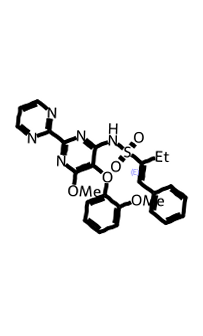 CC/C(=C\c1ccccc1)S(=O)(=O)Nc1nc(-c2ncccn2)nc(OC)c1Oc1ccccc1OC